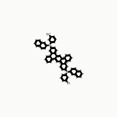 CCc1cccc(N(c2ccc3ccccc3c2)c2ccc3c(c2)c2ccccc2c2cc4c5ccc(N(c6cccc(CC)c6)c6ccc7ccccc7c6)cc5c5ccccc5c4cc32)c1